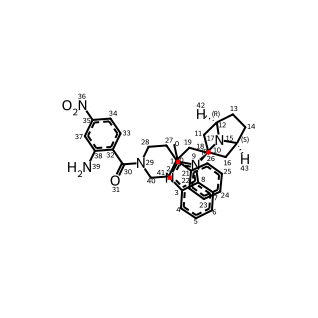 Cc1nc2ccccc2n1[C@H]1C[C@H]2CC[C@@H](C1)N2CCC1(c2ccccc2)CCN(C(=O)c2ccc([N+](=O)[O-])cc2N)CC1